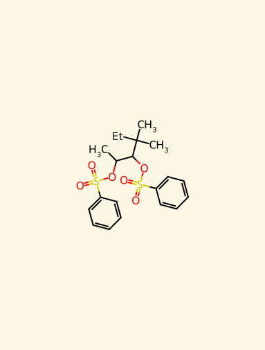 CCC(C)(C)C(OS(=O)(=O)c1ccccc1)C(C)OS(=O)(=O)c1ccccc1